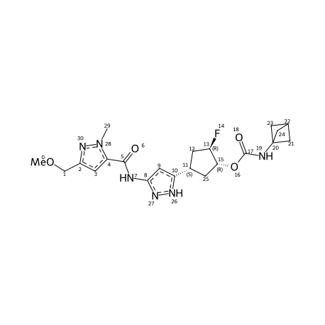 COCc1cc(C(=O)Nc2cc([C@@H]3C[C@@H](F)[C@H](OC(=O)NC45CC(C4)C5)C3)[nH]n2)n(C)n1